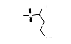 CCCCCCCCCC(C)S(=O)(=O)OC(C)=O